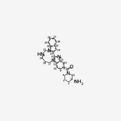 N[C@@H]1CCCN(C(=O)c2ccc3c(c2)nc2n3CCCNCn3c-2cc2ccccc23)C1